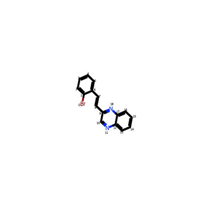 Brc1ccccc1C=Cc1cnc2ccccc2n1